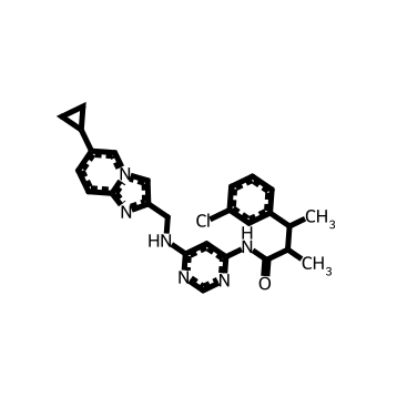 CC(C(=O)Nc1cc(NCc2cn3cc(C4CC4)ccc3n2)ncn1)C(C)c1cccc(Cl)c1